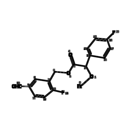 CCOC(C(=O)OCc1cc(C=O)ccc1F)c1ccc(F)cc1